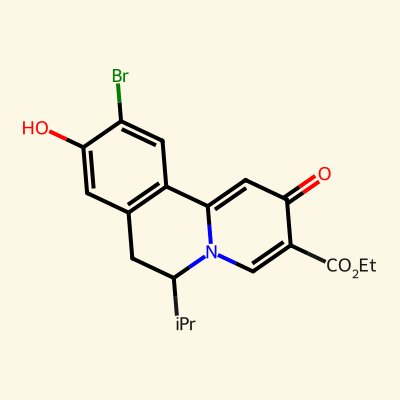 CCOC(=O)c1cn2c(cc1=O)-c1cc(Br)c(O)cc1CC2C(C)C